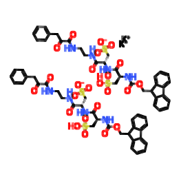 O=C(N[C@@H](CS(=O)(=O)O)C(=O)N[C@@H](CS(=O)(=O)[O-])C(=O)NCCNC(=O)C(=O)Cc1ccccc1)OCC1c2ccccc2-c2ccccc21.O=C(N[C@@H](CS(=O)(=O)O)C(=O)N[C@@H](CS(=O)(=O)[O-])C(=O)NCCNC(=O)C(=O)Cc1ccccc1)OCC1c2ccccc2-c2ccccc21.[K+].[K+]